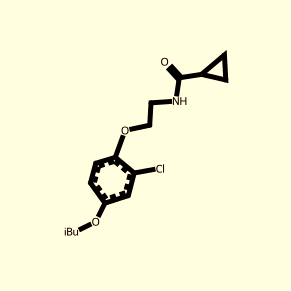 CCC(C)Oc1ccc(OCCNC(=O)C2CC2)c(Cl)c1